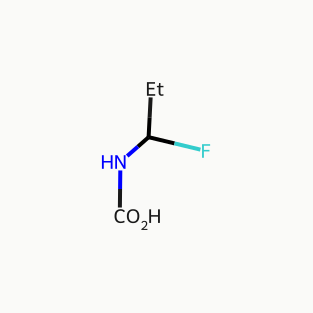 CCC(F)NC(=O)O